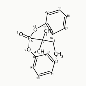 CCC(C)(C)P(=O)(Oc1ccccc1)Oc1ccccc1